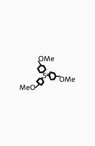 COCc1ccc([S+](c2ccc(COC)cc2)c2ccc(COC)cc2)cc1